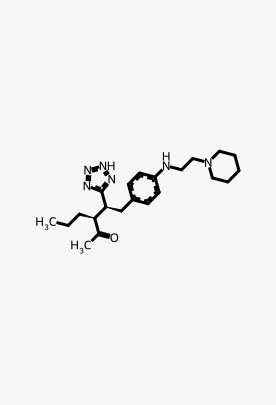 CCC[C@H](C(C)=O)[C@H](Cc1ccc(NCCN2CCCCC2)cc1)c1nn[nH]n1